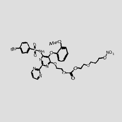 COc1ccccc1Oc1c(NS(=O)(=O)c2ccc(C(C)(C)C)cc2)nc(-c2ncccn2)nc1OCCOC(=O)OCCOCCCO[N+](=O)[O-]